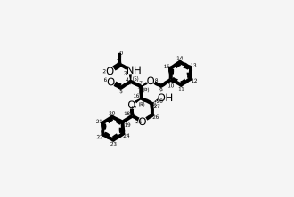 CC(=O)N[C@H](C=O)[C@@H](OCc1ccccc1)[C@@H]1OC(c2ccccc2)OC[C@H]1O